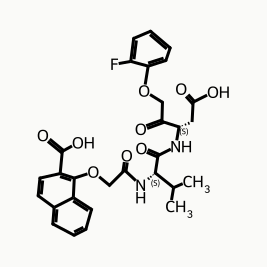 CC(C)[C@H](NC(=O)COc1c(C(=O)O)ccc2ccccc12)C(=O)N[C@@H](CC(=O)O)C(=O)COc1ccccc1F